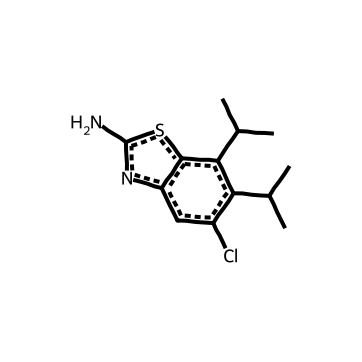 CC(C)c1c(Cl)cc2nc(N)sc2c1C(C)C